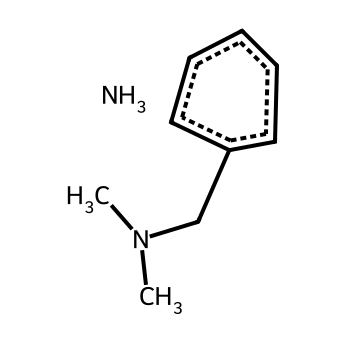 CN(C)Cc1ccccc1.N